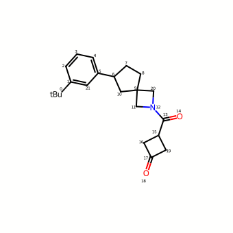 CC(C)(C)c1cccc(C2CCC3(C2)CN(C(=O)C2CC(=O)C2)C3)c1